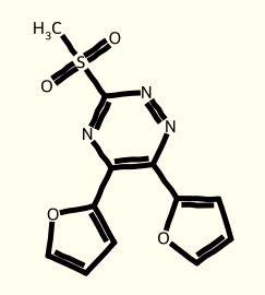 CS(=O)(=O)c1nnc(-c2ccco2)c(-c2ccco2)n1